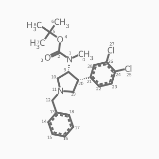 CN(C(=O)OC(C)(C)C)[C@H]1CN(Cc2ccccc2)C[C@H]1c1ccc(Cl)c(Cl)c1